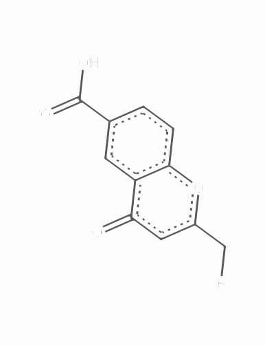 O=C(O)c1ccc2oc(CF)cc(=O)c2c1